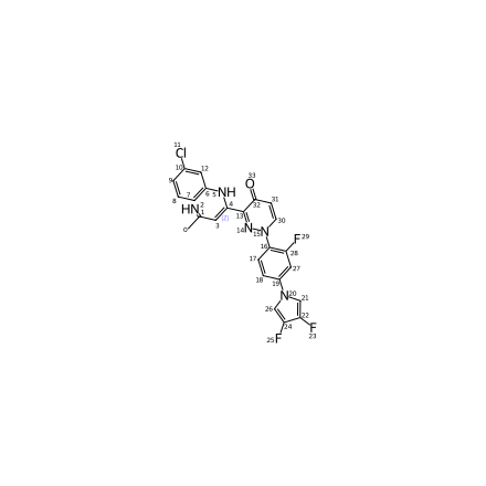 CC(=N)/C=C(\Nc1cccc(Cl)c1)c1nn(-c2ccc(-n3cc(F)c(F)c3)cc2F)ccc1=O